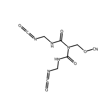 N#COCN(C(=O)NCN=C=O)C(=O)NCN=C=O